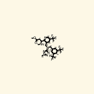 CNC(CC(=O)OC)c1ncc(C(F)(F)F)cc1CN(Cc1cc(C(F)(F)F)cc(C(F)(F)F)c1)c1nnn(C)n1